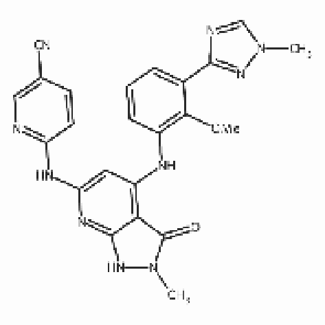 COc1c(Nc2cc(Nc3ccc(C#N)cn3)nc3[nH]n(C)c(=O)c23)cccc1-c1ncn(C)n1